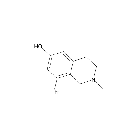 CC(C)c1cc(O)cc2c1CN(C)CC2